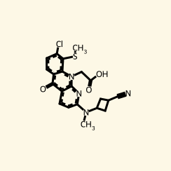 CSc1c(Cl)ccc2c(=O)c3ccc(N(C)C4CC(C#N)C4)nc3n(CC(=O)O)c12